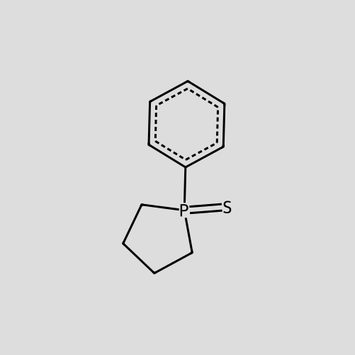 S=P1(c2ccccc2)CCCC1